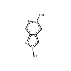 CCCn1cc2cc(C=O)ncc2n1